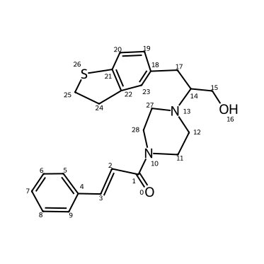 O=C(C=Cc1ccccc1)N1CCN(C(CO)Cc2ccc3c(c2)CCS3)CC1